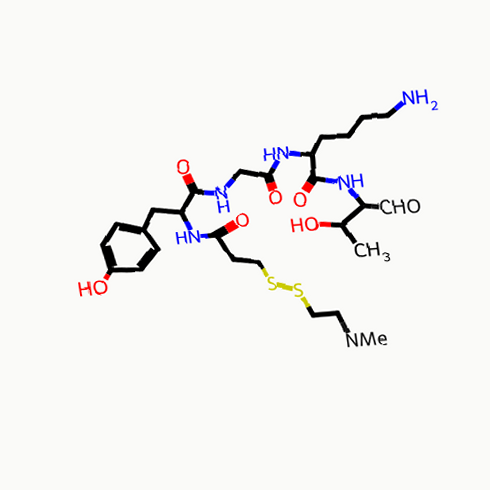 CNCCSSCCC(=O)NC(Cc1ccc(O)cc1)C(=O)NCC(=O)NC(CCCCN)C(=O)NC(C=O)C(C)O